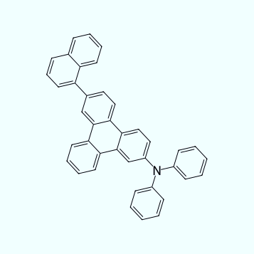 c1ccc(N(c2ccccc2)c2ccc3c4ccc(-c5cccc6ccccc56)cc4c4ccccc4c3c2)cc1